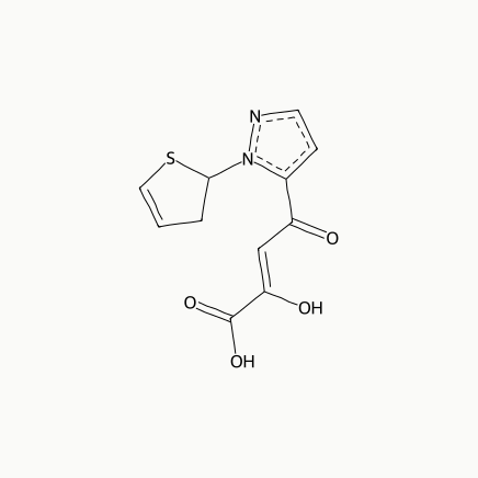 O=C(O)C(O)=CC(=O)c1ccnn1C1CC=CS1